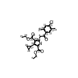 CCOC(=O)c1nn(CC(=O)c2cc(C)c(Cl)cc2F)c(C(=O)OCC)c1C1CC1